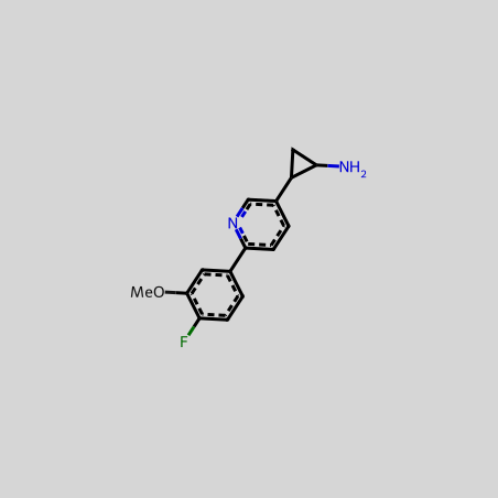 COc1cc(-c2ccc(C3CC3N)cn2)ccc1F